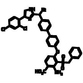 CCC(c1ccc(-c2ccc(Oc3ccc(C(=O)O)c(N)c3S(=O)(=O)Cc3ccccc3)cc2)cc1)c1nc(-c2ccc(Cl)cc2Cl)c[nH]1